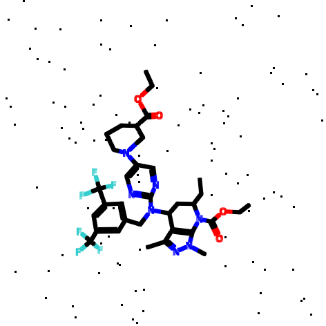 CCOC(=O)C1CCCN(c2cnc(N(Cc3cc(C(F)(F)F)cc(C(F)(F)F)c3)C3CC(CC)N(C(=O)OCC)c4c3c(C)nn4C)nc2)C1